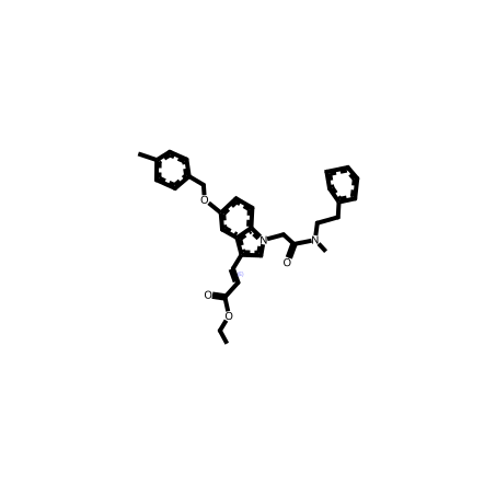 CCOC(=O)/C=C/c1cn(CC(=O)N(C)CCc2ccccc2)c2ccc(OCc3ccc(C)cc3)cc12